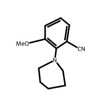 COc1cccc(C#N)c1N1CCCCC1